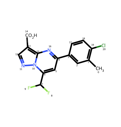 Cc1cc(-c2cc(C(F)F)n3ncc(C(=O)O)c3n2)ccc1Cl